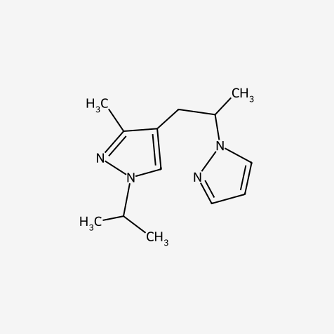 Cc1nn(C(C)C)cc1CC(C)n1cccn1